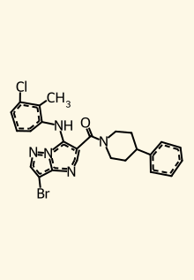 Cc1c(Cl)cccc1Nc1c(C(=O)N2CCC(c3ccccc3)CC2)cnc2c(Br)cnn12